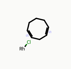 C1=C\CCC/C=C\C/1.[Cl][Rh]